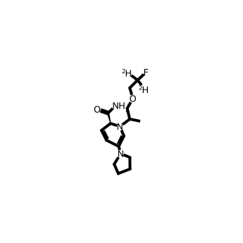 [2H]C([2H])(F)COCC(C)N1C=C(N2CCCC2)C=C[C@H]1C(N)=O